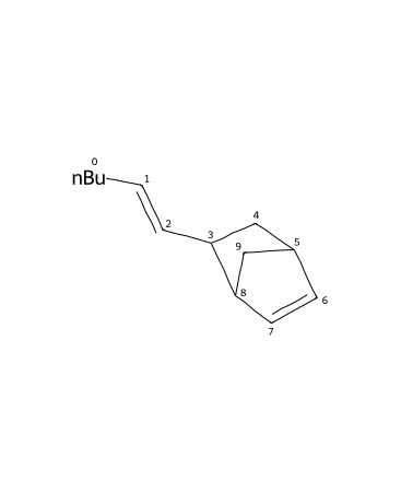 CCCCC=CC1CC2C=CC1C2